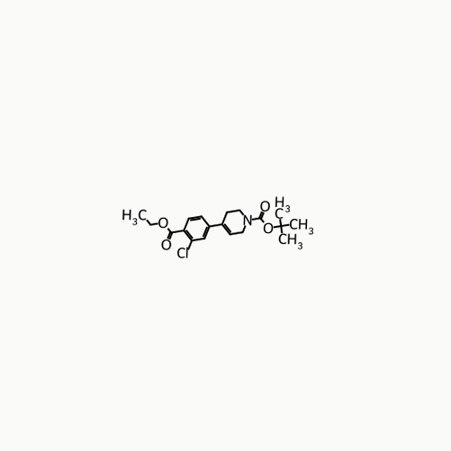 CCOC(=O)c1ccc(C2=CCN(C(=O)OC(C)(C)C)CC2)cc1Cl